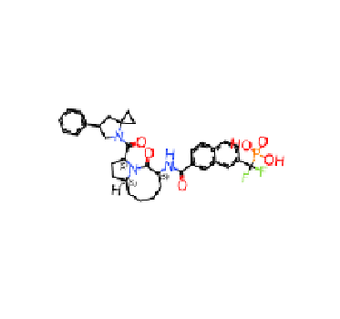 O=C(N[C@H]1CCCC[C@H]2CC[C@@H](C(=O)N3CC(c4ccccc4)CC34CC4)N2C1=O)c1ccc2ccc(C(F)(F)P(=O)(O)O)cc2c1